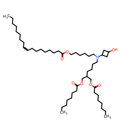 CCCCCCCC/C=C\CCCCCCCC(=O)OCCCCCCN(CCCCC(COC(=O)CCCCCCC)COC(=O)CCCCCCC)C1CC(O)C1